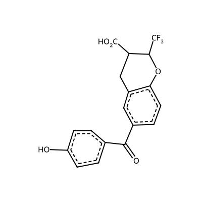 O=C(c1ccc(O)cc1)c1ccc2c(c1)CC(C(=O)O)C(C(F)(F)F)O2